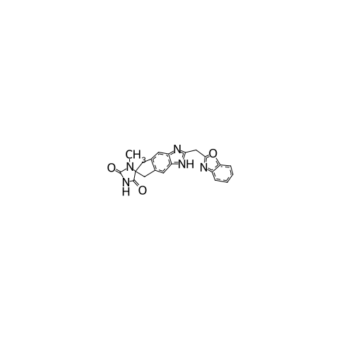 CN1C(=O)NC(=O)C12Cc1cc3nc(Cc4nc5ccccc5o4)[nH]c3cc1C2